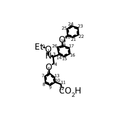 CCON=C(COc1cccc(CC(=O)O)c1)c1cccc(Oc2ccccc2)c1